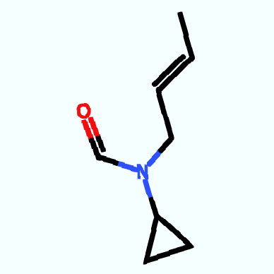 CC=CCN(C=O)C1CC1